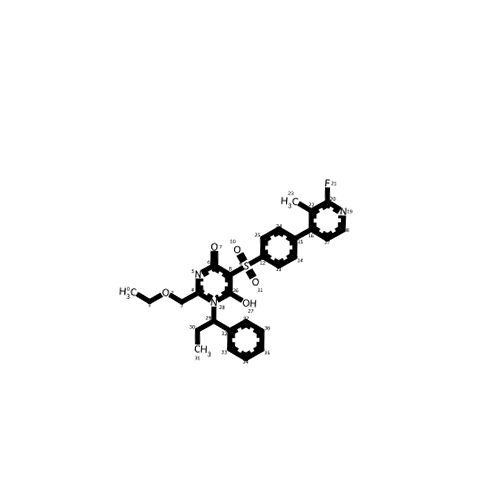 CCOCc1nc(=O)c(S(=O)(=O)c2ccc(-c3ccnc(F)c3C)cc2)c(O)n1C(CC)c1ccccc1